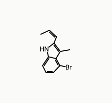 C/C=C\c1[nH]c2cccc(Br)c2c1C